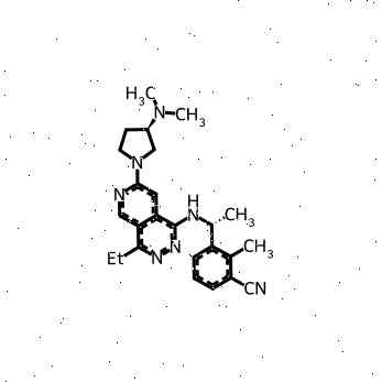 CCc1nnc(N[C@H](C)c2cccc(C#N)c2C)c2cc(N3CC[C@@H](N(C)C)C3)ncc12